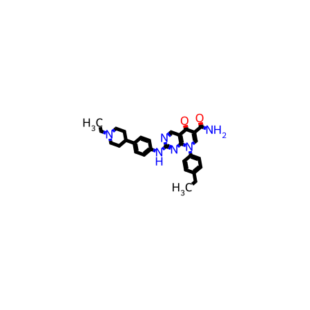 CCc1ccc(-n2cc(C(N)=O)c(=O)c3cnc(Nc4ccc(C5CCN(CC)CC5)cc4)nc32)cc1